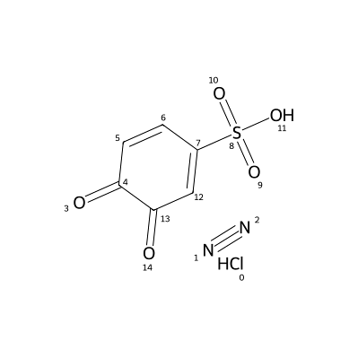 Cl.N#N.O=C1C=CC(S(=O)(=O)O)=CC1=O